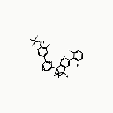 Cc1cc(-c2cncc([C@@]34CC[C@@H](c5cc(-c6c(F)cccc6F)nnc53)C4(C)C)n2)cnc1NS(C)(=O)=O